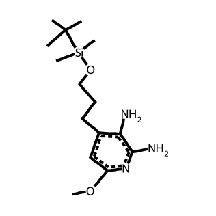 COc1cc(CCCO[Si](C)(C)C(C)(C)C)c(N)c(N)n1